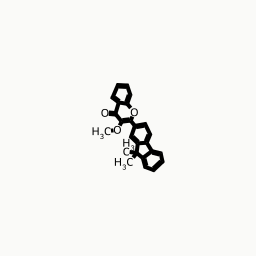 COc1c(-c2ccc3c(c2)C(C)(C)c2ccccc2-3)oc2ccccc2c1=O